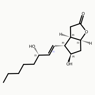 CCCCC[C@H](O)/C=C/[C@@H]1[C@H]2CC(=O)O[C@H]2C[C@H]1O